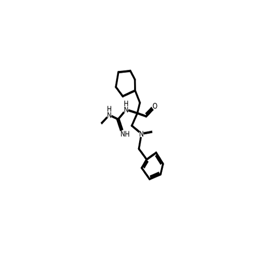 CNC(=N)NC(C=O)(CC1CCCCC1)CN(C)Cc1ccccc1